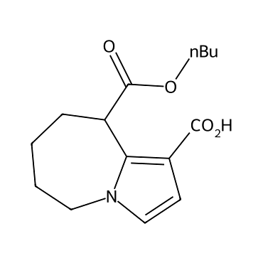 CCCCOC(=O)C1CCCCn2ccc(C(=O)O)c21